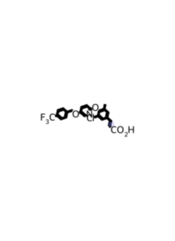 Cc1cc(/C=C/C(=O)O)cc(Cl)c1Oc1ccc(OCc2ccc(C(F)(F)F)cc2)cn1